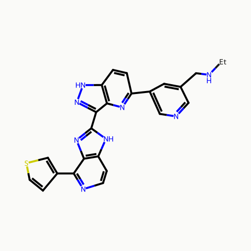 CCNCc1cncc(-c2ccc3[nH]nc(-c4nc5c(-c6ccsc6)nccc5[nH]4)c3n2)c1